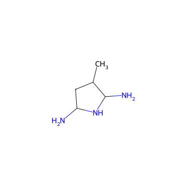 CC1CC(N)NC1N